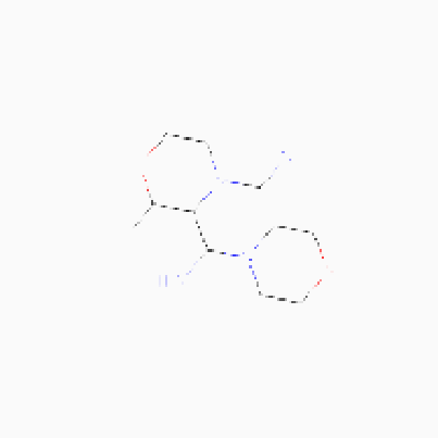 CC1OCCN(CN)C1C(N)N1CCOCC1